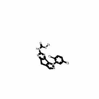 CCSC(=O)Nc1nc2c(s1)-c1c(cnn1-c1cc(Cl)ccc1Cl)C2